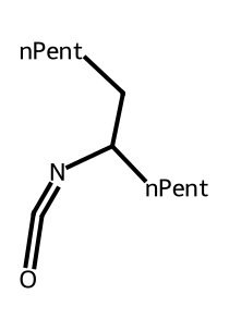 CCCCCCC(CCCCC)N=C=O